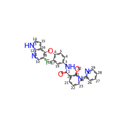 O=C(Nc1ccc(Oc2ccnc3[nH]ccc23)c(F)c1)c1cccn(-c2ccccn2)c1=O